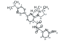 CC(C)c1ccc(-c2ccc(C(=O)NS(=O)(=O)c3cccc(N)n3)c(N3CCC(C)C3(C)C)n2)cn1